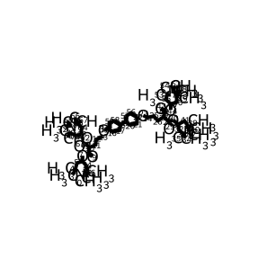 CN1C(C)(C)CC(OC(=O)C(CCCOc2ccc(-c3ccc(OCCCC(C(=O)OC4CC(C)(C)N(C)C(C)(C)C4)C(=O)OC4CC(C)(C)N(C)C(C)(C)C4)cc3)cc2)C(=O)OC2CC(C)(C)N(C)C(C)(C)C2)CC1(C)C